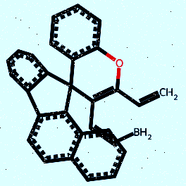 B/C=C\C1=C(C=C)Oc2ccccc2C12c1ccccc1-c1ccc3ccccc3c12